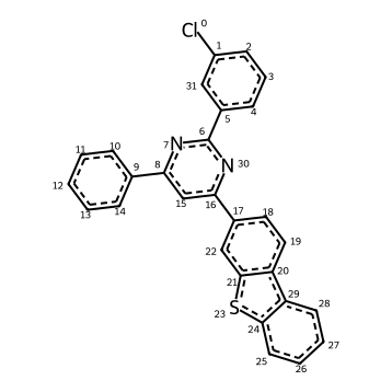 Clc1cccc(-c2nc(-c3ccccc3)cc(-c3ccc4c(c3)sc3ccccc34)n2)c1